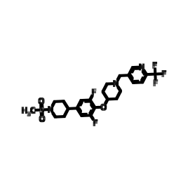 CS(=O)(=O)N1CCC(c2cc(F)c(OC3CCN(Cc4ccc(C(F)(F)F)nc4)CC3)c(F)c2)CC1